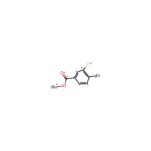 [CH2]Cc1ccc(C(=O)OC(C)(C)C)cc1F